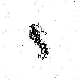 COC(=O)CC1CCC(c2ccc(N3CCOc4nc(SC)nc(N)c4C3=O)cn2)CC1